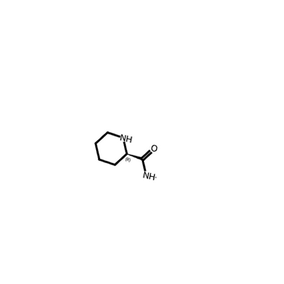 [NH]C(=O)[C@H]1CCCCN1